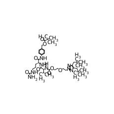 CC(C)[C@H](NC(=O)OCCOCCn1nc(CC(C)(C)C)c(CC(C)(C)C)n1)C(=O)N[C@@H](CCCNC(N)=O)C(=O)Nc1ccc(COC(=O)C(C)(C)C)cc1